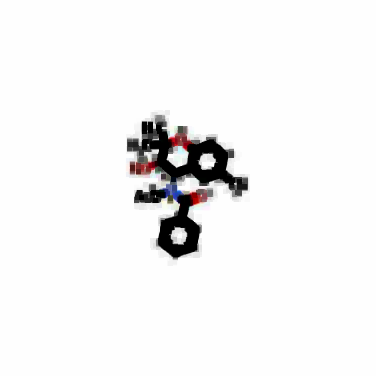 CC(=O)ON(C(=O)c1ccccc1)[C@H]1c2cc(C#N)ccc2OC(C)(C)[C@@H]1O